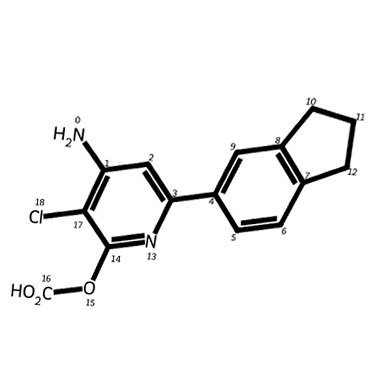 Nc1cc(-c2ccc3c(c2)CCC3)nc(OC(=O)O)c1Cl